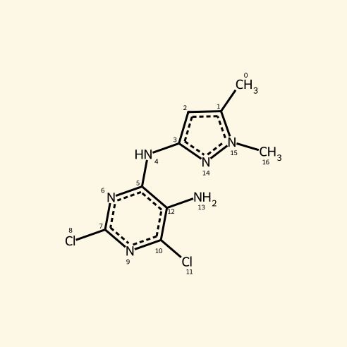 Cc1cc(Nc2nc(Cl)nc(Cl)c2N)nn1C